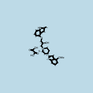 COc1cccc2sc([C@H]3CCN(C[C@H](O)COc4cccc5[nH]c(C)cc45)[C@@H](C)C3)cc12.O=C(O)C(=O)O